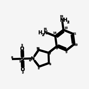 CS(=O)(=O)N1CCC(c2cccc(N)c2N)C1